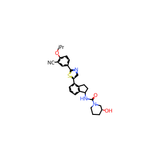 CC(C)Oc1ccc(-c2ncc(-c3cccc4c3CCC4NC(=O)N3CCC[C@H](O)C3)s2)cc1C#N